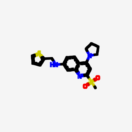 CS(=O)(=O)c1cc(N2CCCC2)c2ccc(NCc3cccs3)cc2n1